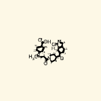 CN(CCC(=O)N1CCC(C(=O)c2ccc3cnn(C)c3c2)CC1)c1ccc(C(=O)O)cc1